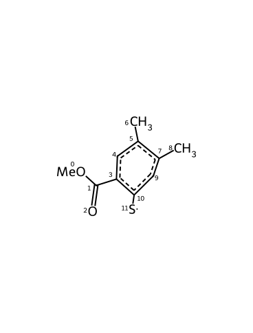 COC(=O)c1cc(C)c(C)cc1[S]